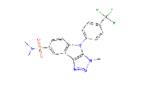 CN(C)S(=O)(=O)c1ccc2c(c1)c1nnn(C)c1n2-c1ccc(C(F)(F)F)cc1